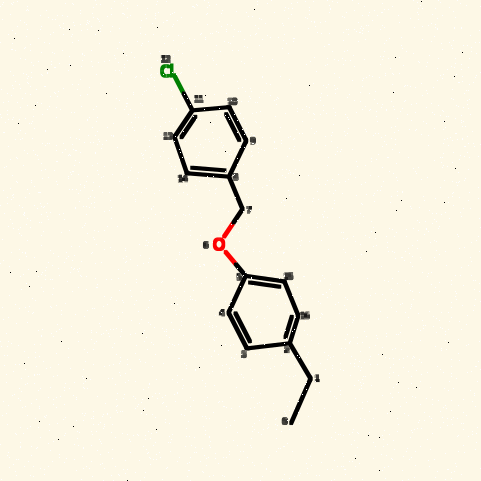 CCc1ccc(OCc2ccc(Cl)cc2)cc1